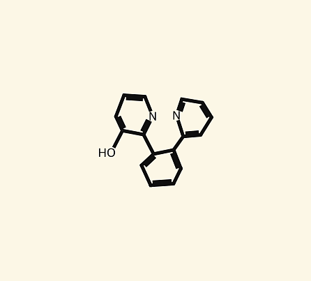 Oc1cccnc1-c1ccccc1-c1ccccn1